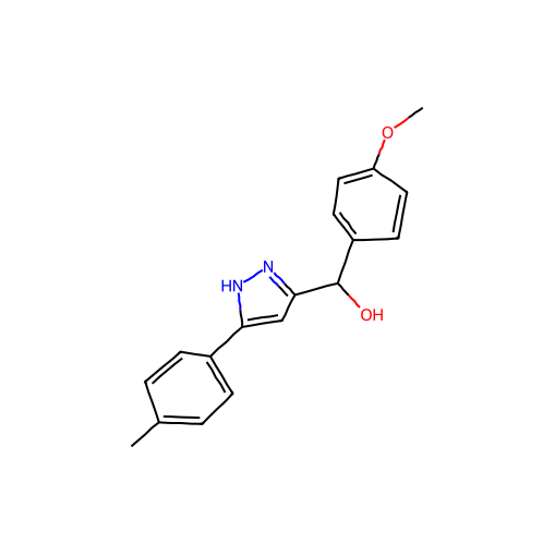 COc1ccc(C(O)c2cc(-c3ccc(C)cc3)[nH]n2)cc1